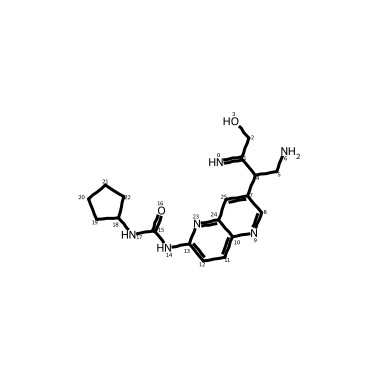 N=C(CO)C(CN)c1cnc2ccc(NC(=O)NC3CCCC3)nc2c1